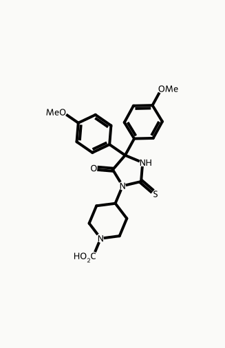 COc1ccc(C2(c3ccc(OC)cc3)NC(=S)N(C3CCN(C(=O)O)CC3)C2=O)cc1